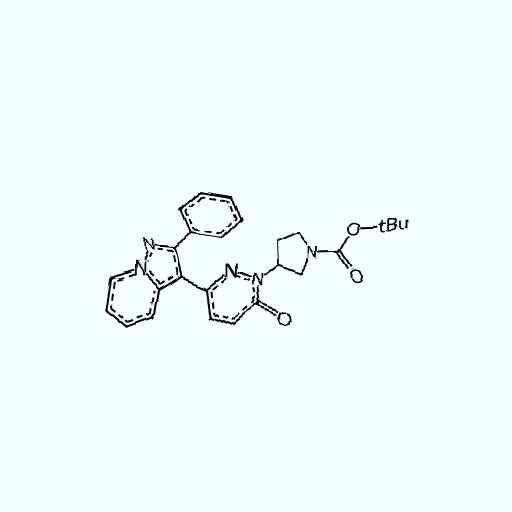 CC(C)(C)OC(=O)N1CCC(n2nc(-c3c(-c4ccccc4)nn4ccccc34)ccc2=O)C1